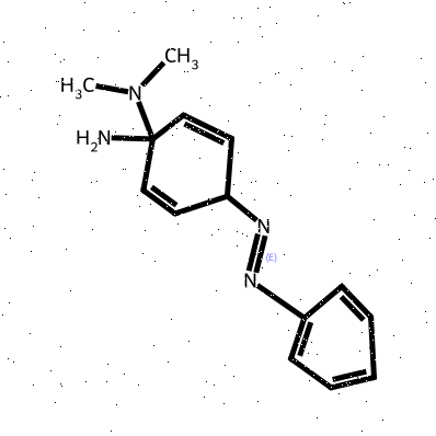 CN(C)C1(N)C=CC(/N=N/c2ccccc2)C=C1